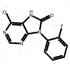 O=c1[nH]c2c(Cl)ncnc2n1-c1ccccc1F